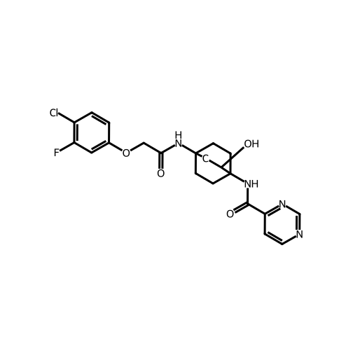 O=C(COc1ccc(Cl)c(F)c1)NC12CCC(NC(=O)c3ccncn3)(CC1)C(O)C2